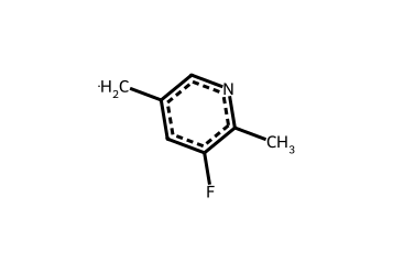 [CH2]c1cnc(C)c(F)c1